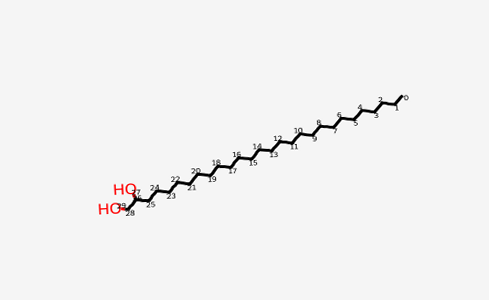 CCCCCCCCCCCCCCCCCCCCCCCCCCC(O)CO